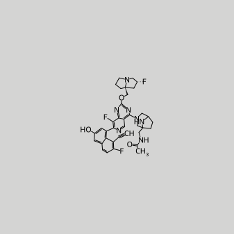 C#Cc1c(F)ccc2cc(O)cc(-c3ncc4c(N5CC6CCC(CNC(C)=O)(C5)N6)nc(OC[C@@]56CCCN5C[C@H](F)C6)nc4c3F)c12